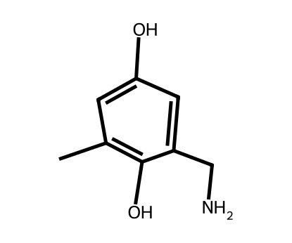 Cc1cc(O)cc(CN)c1O